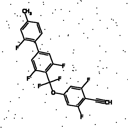 C#Cc1c(F)cc(OC(F)(F)c2c(F)cc(-c3ccc(C)cc3F)cc2F)cc1F